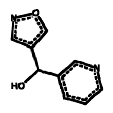 OC(c1cccnc1)c1cnoc1